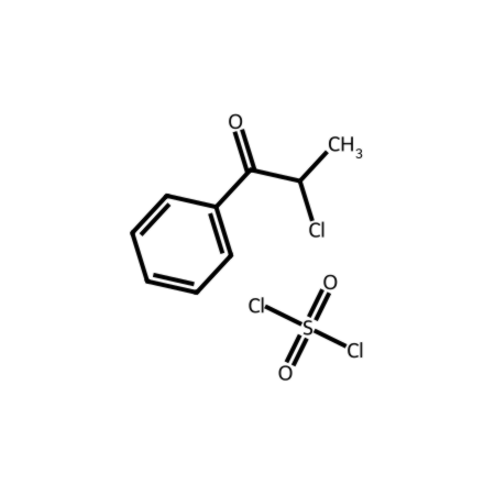 CC(Cl)C(=O)c1ccccc1.O=S(=O)(Cl)Cl